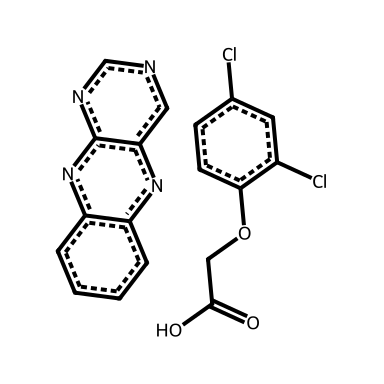 O=C(O)COc1ccc(Cl)cc1Cl.c1ccc2nc3ncncc3nc2c1